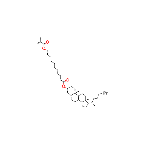 C=C(C)C(=O)OCCCCCCCCCCC(=O)OC1CC[C@@]2(C)C(CCC3C2CC[C@@]2(C)C3CC[C@@H]2[C@H](C)CCCC(C)C)C1